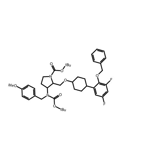 COc1ccc(CN(C(=O)OC(C)(C)C)C2CCN(C(=O)OC(C)(C)C)C2COC2CCC(c3cc(F)cc(F)c3OCc3ccccc3)CC2)cc1